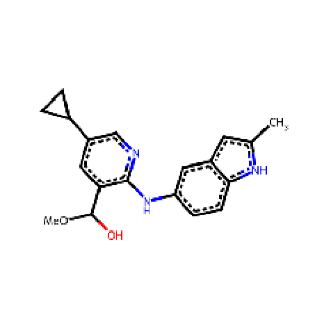 COC(O)c1cc(C2CC2)cnc1Nc1ccc2[nH]c(C)cc2c1